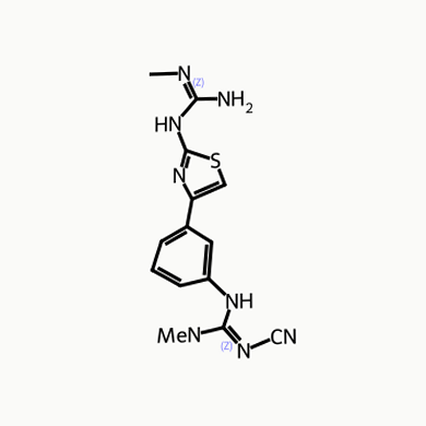 C/N=C(/N)Nc1nc(-c2cccc(N/C(=N\C#N)NC)c2)cs1